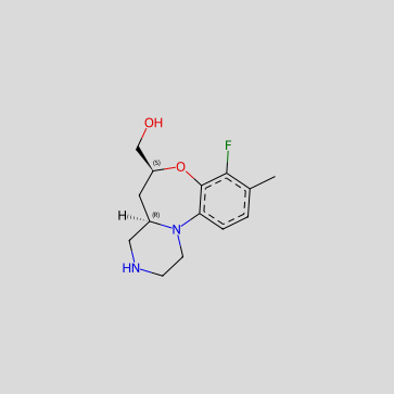 Cc1ccc2c(c1F)O[C@H](CO)C[C@@H]1CNCCN21